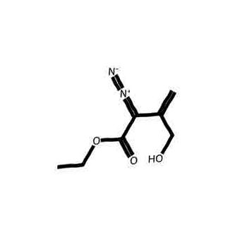 C=C(CO)C(=[N+]=[N-])C(=O)OCC